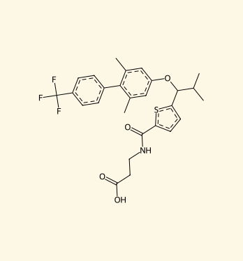 Cc1cc(OC(c2ccc(C(=O)NCCC(=O)O)s2)C(C)C)cc(C)c1-c1ccc(C(F)(F)F)cc1